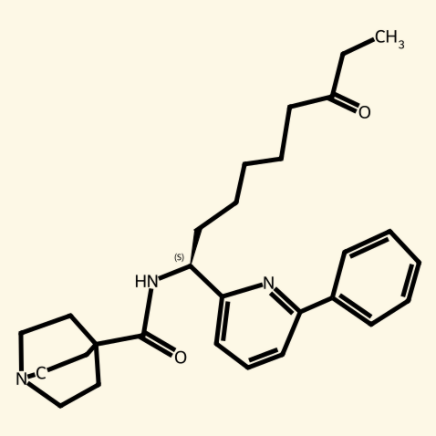 CCC(=O)CCCCC[C@H](NC(=O)C12CCN(CC1)CC2)c1cccc(-c2ccccc2)n1